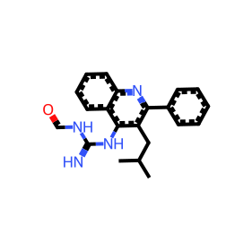 CC(C)Cc1c(-c2ccccc2)nc2ccccc2c1NC(=N)NC=O